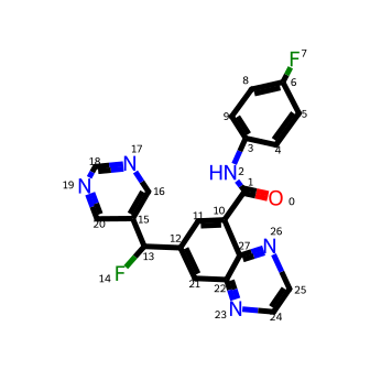 O=C(Nc1ccc(F)cc1)c1cc(C(F)c2cncnc2)cc2nccnc12